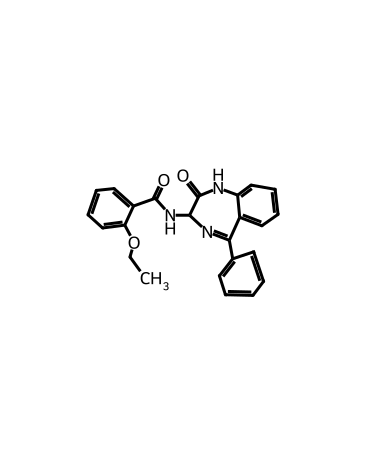 CCOc1ccccc1C(=O)NC1N=C(c2ccccc2)c2ccccc2NC1=O